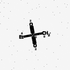 [CH2]S(=O)(=O)CC